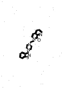 O=c1c2ncccc2ccn1CCN1CCN(c2nsc3ccccc23)CC1